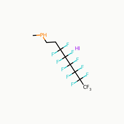 CPCCC(F)(F)C(F)(F)C(F)(F)C(F)(F)C(F)(F)C(F)(F)F.I